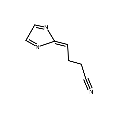 N#CCCC=C1N=CC=N1